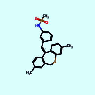 Cc1ccc2c(c1)CSc1cc(C)ccc1C2=Cc1cccc(NS(C)(=O)=O)c1